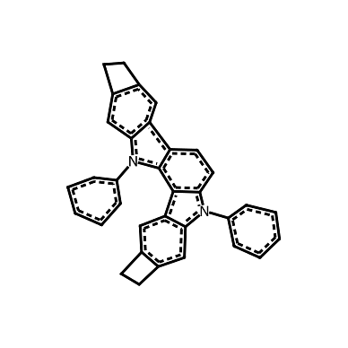 c1ccc(-n2c3cc4c(cc3c3c2ccc2c5cc6c(cc5n(-c5ccccc5)c23)CC6)CC4)cc1